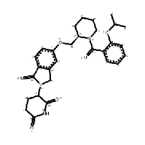 CC(C)Oc1ccccc1C(=O)N1CCCC[C@@H]1COc1ccc2c(c1)CN(C1CCC(=O)NC1=O)C2=O